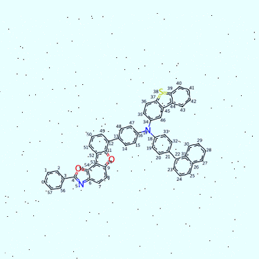 c1ccc(-c2nc3ccc4oc5c(-c6ccc(N(c7ccc(-c8cccc9ccccc89)cc7)c7ccc8sc9ccccc9c8c7)cc6)cccc5c4c3o2)cc1